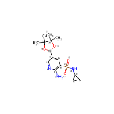 CC1(C)OB(c2cnc(N)c(S(=O)(=O)NC3CC3)c2)OC1(C)C